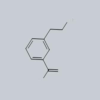 CCC(=O)c1cccc(CCC=O)c1